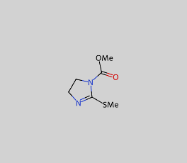 COC(=O)N1CCN=C1SC